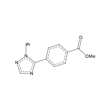 COC(=O)c1ccc(-c2ncnn2C(C)C)cc1